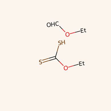 CCOC(=S)S.CCOC=O